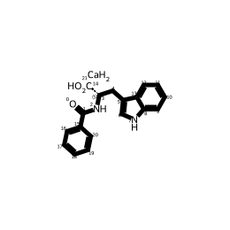 O=C(N[C@@H](Cc1c[nH]c2ccccc12)C(=O)O)c1ccccc1.[CaH2]